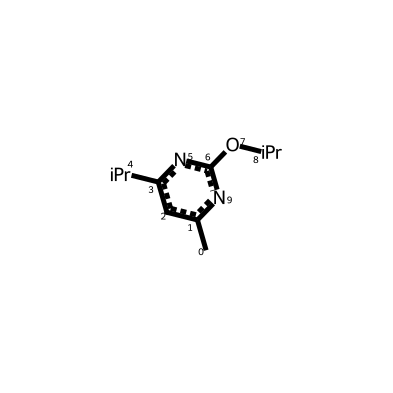 Cc1cc(C(C)C)nc(OC(C)C)n1